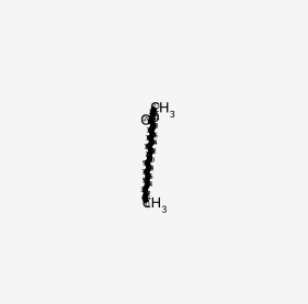 CCCCCCCCCCCCCCCCCC=CC(=O)OCC